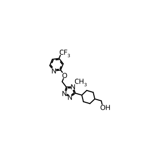 Cn1c(COc2cc(C(F)(F)F)ccn2)nnc1C1CCC(CO)CC1